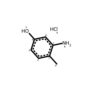 Cc1ccc(O)cc1N.Cl